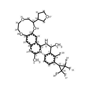 Cc1nc(NC(C)c2cccc(C3C(F)(F)C3(F)F)c2F)c2cc3c(cc2n1)OCCOCC(C1CCOC1)O3